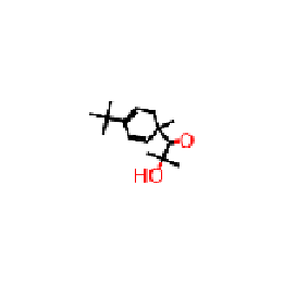 CC(C)(C)C1=CCC(C)(C(=O)C(C)(C)O)C=C1